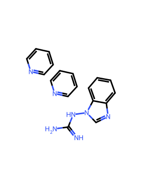 N=C(N)Nn1cnc2ccccc21.c1ccncc1.c1ccncc1